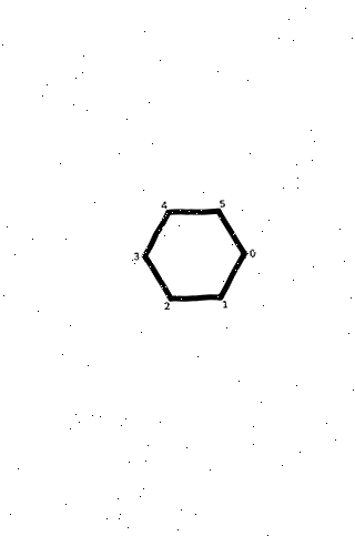 [CH]1CC[CH]CC1